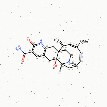 C=C1/C=C(OC)\C=C/CC[C@H]2N(C)CC[C@@]13Cc1[nH]c(=O)c(C(N)=O)cc1C[C@@]23O